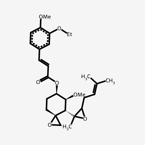 CCOc1cc(/C=C/C(=O)O[C@@H]2CC[C@]3(CO3)[C@@H](C3(C)OC3CC=C(C)C)[C@@H]2OC)ccc1OC